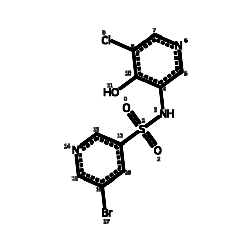 O=S(=O)(Nc1cncc(Cl)c1O)c1cncc(Br)c1